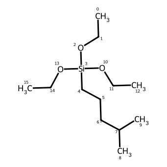 CCO[Si](CC[CH]C(C)C)(OCC)OCC